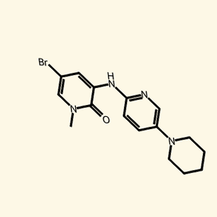 Cn1cc(Br)cc(Nc2ccc(N3CCCCC3)cn2)c1=O